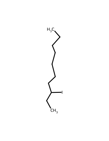 CCCCCCCC(I)CC